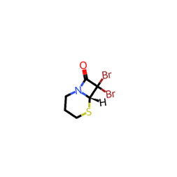 O=C1N2CCCS[C@H]2C1(Br)Br